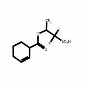 O=C(OC(C(F)(F)F)C(F)(F)S(=O)(=O)O)C1C=CCCC1